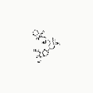 Cn1c(=O)n(CC(C)(C)C)c2ccc(C3CCC(C)(C)C(CC(O)CNC(=O)c4ccccc4O)C3)nc21